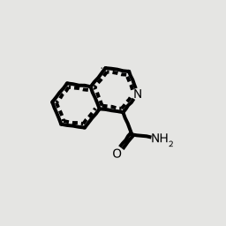 NC(=O)c1nc[c]c2ccccc12